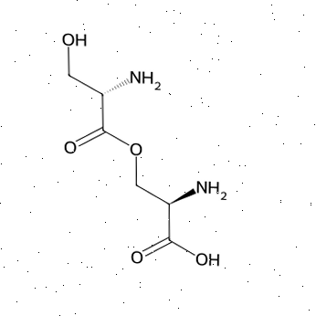 N[C@H](COC(=O)[C@@H](N)CO)C(=O)O